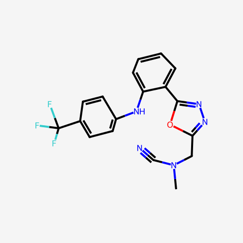 CN(C#N)Cc1nnc(-c2ccccc2Nc2ccc(C(F)(F)F)cc2)o1